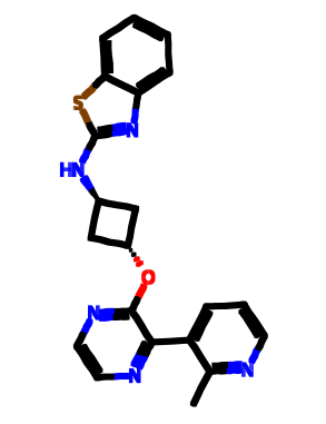 Cc1ncccc1-c1nccnc1O[C@H]1C[C@H](Nc2nc3ccccc3s2)C1